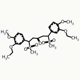 CCOc1cc(C(CC(=O)CC(c2ccc(OC)c(OCC)c2)S(C)(=O)=O)S(C)(=O)=O)ccc1OC